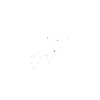 c1ccc2c(c1)Oc1ccccc1B2c1ccc2sc3ccc(B4c5ccccc5Oc5ccccc54)cc3c2c1